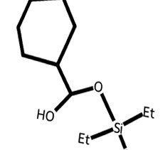 CC[Si](CC)(CC)OC(O)C1CCCCC1